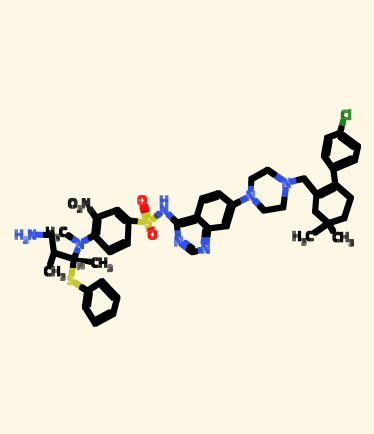 CC(CN)[C@@](C)(Sc1ccccc1)N(C)c1ccc(S(=O)(=O)Nc2ncnc3cc(N4CCN(CC5=C(c6ccc(Cl)cc6)CCC(C)(C)C5)CC4)ccc23)cc1[N+](=O)[O-]